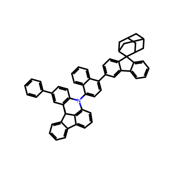 CC12c3ccccc3-c3cccc(c31)N(c1ccc(-c3ccc4c(c3)-c3ccccc3C43C4CC5CC(C4)CC3C5)c3ccccc13)c1ccc(-c3ccccc3)cc12